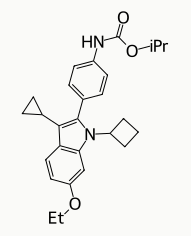 CCOc1ccc2c(C3CC3)c(-c3ccc(NC(=O)OC(C)C)cc3)n(C3CCC3)c2c1